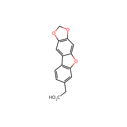 O=C(O)Cc1ccc2c(c1)oc1cc3c(cc12)OCO3